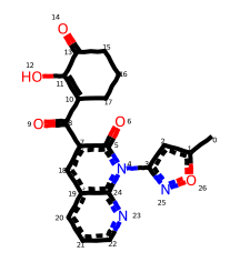 Cc1cc(-n2c(=O)c(C(=O)C3=C(O)C(=O)CCC3)cc3cccnc32)no1